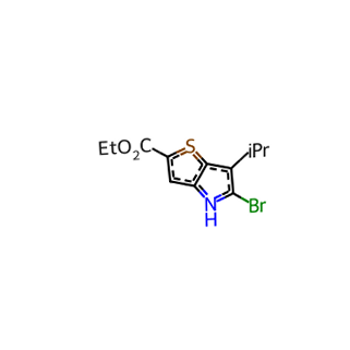 CCOC(=O)c1cc2[nH]c(Br)c(C(C)C)c2s1